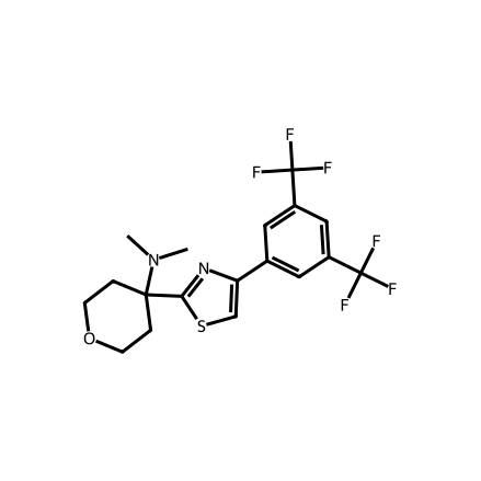 CN(C)C1(c2nc(-c3cc(C(F)(F)F)cc(C(F)(F)F)c3)cs2)CCOCC1